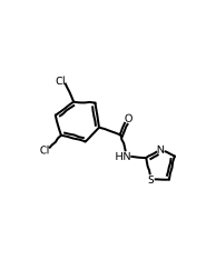 O=C(Nc1nccs1)c1cc(Cl)cc(Cl)c1